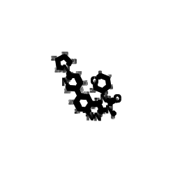 Cn1c(=O)n([C@@H]2CCCOC2)c2c3cc(-c4ccc(N5CCCC5)nc4)ccc3nnc21